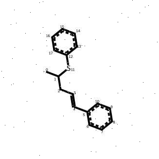 [CH2]C(C/C=C/c1ccccc1)Sc1ccccc1